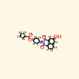 O=C(Oc1ccc(N2C(=O)c3cccc4cc(O)cc(c34)C2=O)cc1)C1=CC=CC1